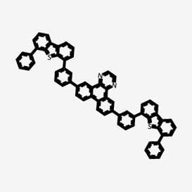 c1ccc(-c2cccc3c2sc2c(-c4cccc(-c5ccc6c7ccc(-c8cccc(-c9cccc%10c9sc9c(-c%11ccccc%11)cccc9%10)c8)cc7c7nccnc7c6c5)c4)cccc23)cc1